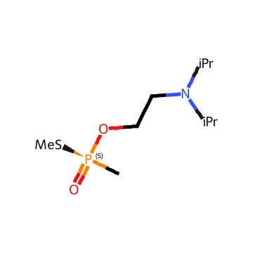 CS[P@@](C)(=O)OCCN(C(C)C)C(C)C